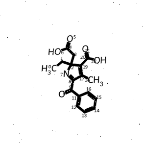 CCC1(CC(=O)O)N=C(C(=O)c2ccccc2)C(C)=C1C(=O)O